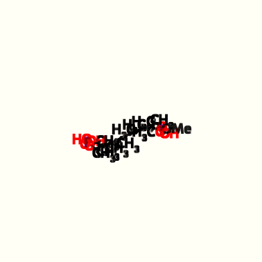 COP(=O)(O)OC1CC(C)=C(/C=C/C(C)=C/C=C/C(C)=C/C=C/C=C(C)/C=C/C=C(C)/C=C/C2=C(C)CC(OP(=O)(O)O)CC2(C)C)C(C)(C)C1